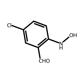 O=Cc1cc(Cl)ccc1NO